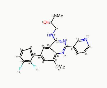 CNC(=O)CNc1nc(-c2cccnc2)nc2c(OC)cc(-c3cccc(F)c3F)cc12